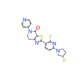 O=C1c2sc(-c3ccc(N4CC[C@@H](F)C4)nc3F)nc2CCN1c1ccncc1